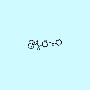 O=C(NC12CC3CC(CC(C3)C1)C2)c1ccc(COc2ccccc2)nc1